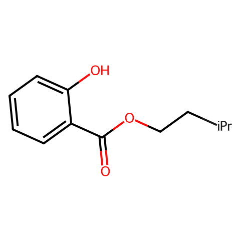 CC(C)CCOC(=O)c1ccccc1O